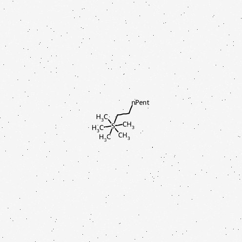 CCCCCCCS(C)(C)(C)(C)C